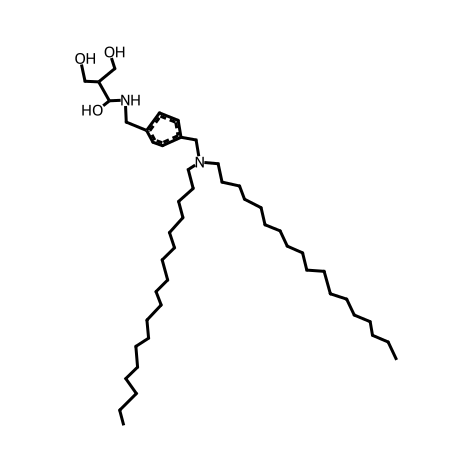 CCCCCCCCCCCCCCCCCCN(CCCCCCCCCCCCCCCCCC)Cc1ccc(CNC(O)C(CO)CO)cc1